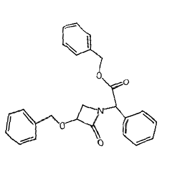 O=C(OCc1ccccc1)C(c1ccccc1)N1CC(OCc2ccccc2)C1=O